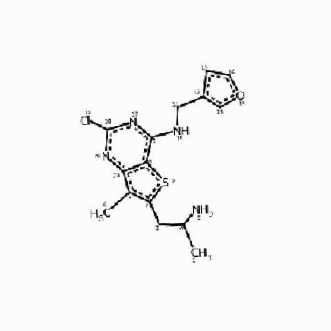 Cc1c(CC(C)N)sc2c(NCc3ccoc3)nc(Cl)nc12